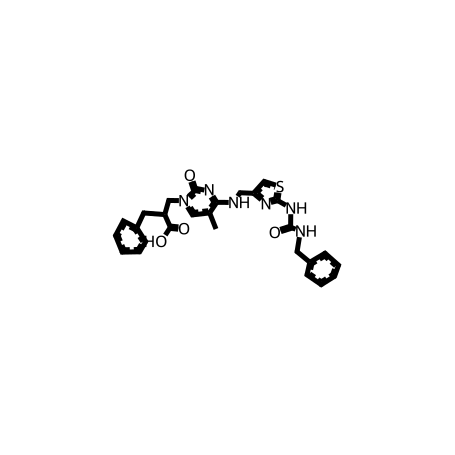 Cc1cn(CC(Cc2ccccc2)C(=O)O)c(=O)nc1NCc1csc(NC(=O)NCc2ccccc2)n1